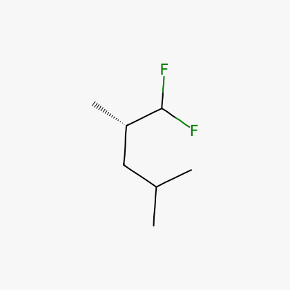 CC(C)C[C@H](C)C(F)F